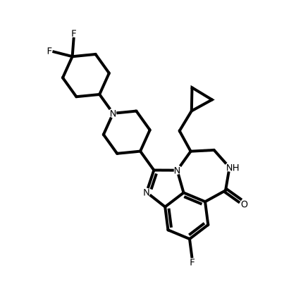 O=C1NCC(CC2CC2)n2c(C3CCN(C4CCC(F)(F)CC4)CC3)nc3cc(F)cc1c32